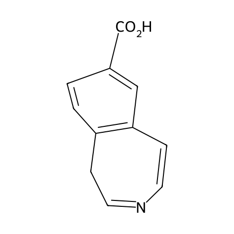 O=C(O)c1ccc2c(c1)C=CN=CC2